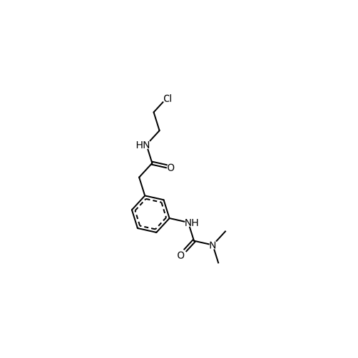 CN(C)C(=O)Nc1cccc(CC(=O)NCCCl)c1